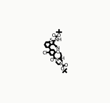 CC(C)(C)OC(=O)Nc1sc2cccc(-c3cc4c(cc3Cl)C(=O)N3CCN(C(=O)OC(C)(C)C)C[C@@H]3CCO4)c2c1C#N